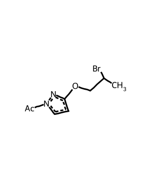 CC(=O)n1ccc(OCC(C)Br)n1